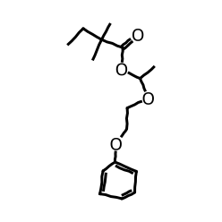 CCC(C)(C)C(=O)OC(C)OCCOc1ccccc1